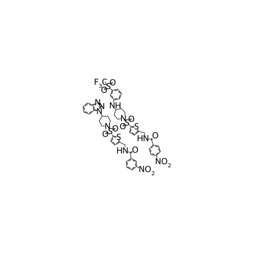 O=C(NCc1ccc(S(=O)(=O)N2CCC(Nc3cccc(S(=O)(=O)C(F)(F)F)c3)CC2)s1)c1ccc([N+](=O)[O-])cc1.O=C(NCc1ccc(S(=O)(=O)N2CCC(n3nnc4ccccc43)CC2)s1)c1cccc([N+](=O)[O-])c1